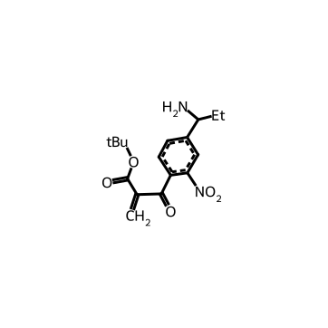 C=C(C(=O)OC(C)(C)C)C(=O)c1ccc(C(N)CC)cc1[N+](=O)[O-]